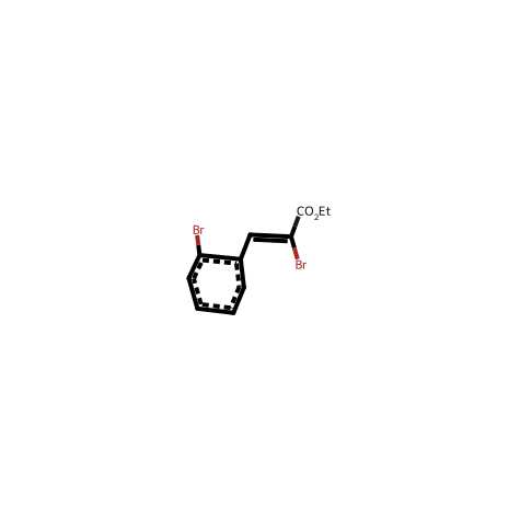 CCOC(=O)C(Br)=Cc1ccccc1Br